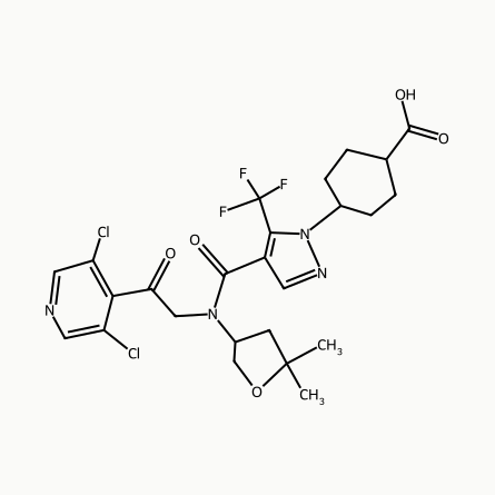 CC1(C)CC(N(CC(=O)c2c(Cl)cncc2Cl)C(=O)c2cnn(C3CCC(C(=O)O)CC3)c2C(F)(F)F)CO1